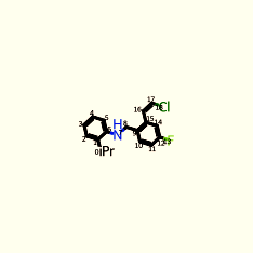 CC(C)c1ccccc1NCc1ccc(F)cc1/C=C\Cl